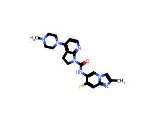 Cc1cn2cc(NC(=O)N3CCc4c(N5CCN(C)CC5)ccnc43)c(F)cc2n1